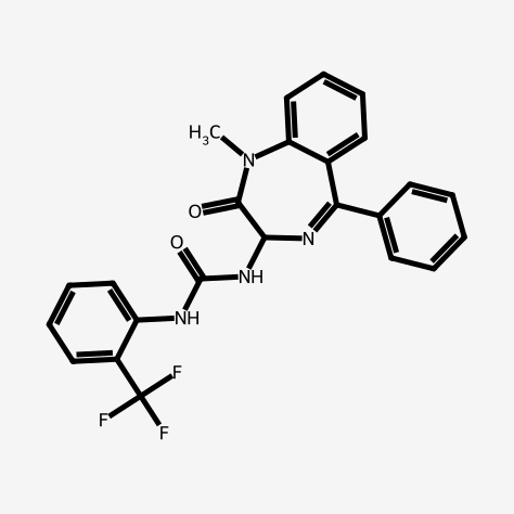 CN1C(=O)C(NC(=O)Nc2ccccc2C(F)(F)F)N=C(c2ccccc2)c2ccccc21